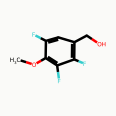 COc1c(F)cc(CO)c(F)c1F